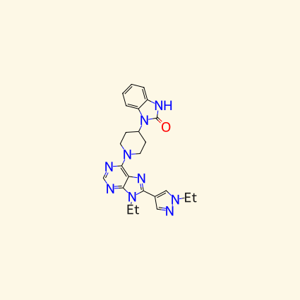 CCn1cc(-c2nc3c(N4CCC(n5c(=O)[nH]c6ccccc65)CC4)ncnc3n2CC)cn1